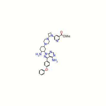 COC(=O)c1cncc(N2CCC2N2CCN(C3CCC(N)C(n4nc(-c5ccc(Oc6ccccc6)cc5)c5c(N)ncnc54)C3)CC2)c1